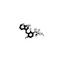 CS(=O)(=O)Nc1ccc(F)c(Cc2c[nH]c3ncccc23)c1F